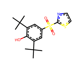 CC(C)(C)c1cc(S(=O)(=O)c2nccs2)cc(C(C)(C)C)c1O